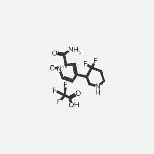 NC(=O)c1cc(C2CNCCC2(F)F)cc[n+]1[O-].O=C(O)C(F)(F)F